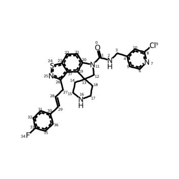 O=C(NCc1ccnc(Cl)c1)N1CC2(CCNCC2)c2c1ccc1snc(CC=Cc3ccc(F)cc3)c21